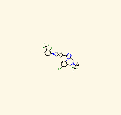 Fc1c(N2CC3(CC(c4nnc5n4-c4ccc(Cl)cc4CN(C4(C(F)(F)F)CC4)C5)C3)C2)cccc1C(F)(F)F